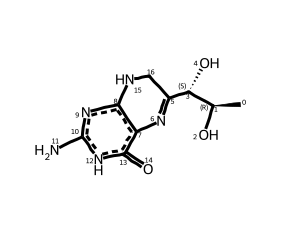 C[C@@H](O)[C@@H](O)C1=Nc2c(nc(N)[nH]c2=O)NC1